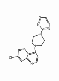 Clc1ccc2c(N3CCN(c4nccnn4)CC3)ccnc2c1